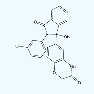 O=C1COc2ccc(C3(O)c4ccccc4C(=O)N3c3cccc(Cl)c3)cc2N1